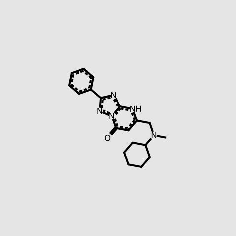 CN(Cc1cc(=O)n2nc(-c3ccccc3)nc2[nH]1)C1CCCCC1